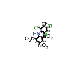 O=[N+]([O-])c1cc([N+](=O)[O-])c(Nc2c(Cl)cc(Cl)c(C(F)(F)F)c2Cl)c([N+](=O)[O-])c1